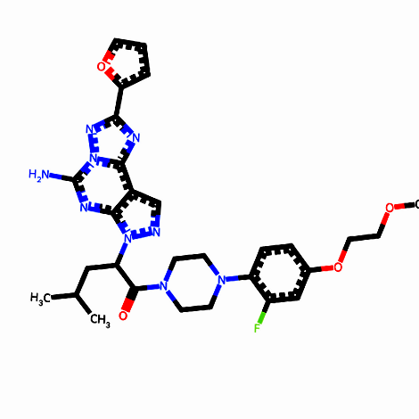 COCCOc1ccc(N2CCN(C(=O)C(CC(C)C)n3ncc4c3nc(N)n3nc(-c5ccco5)nc43)CC2)c(F)c1